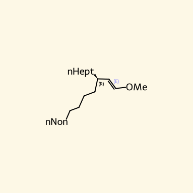 CCCCCCCCCCCCC[C@H](/C=C/OC)CCCCCCC